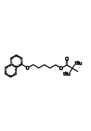 CC(C)(C)C(C)(C(=O)OCCCCCOc1cccc2ccccc12)C(C)(C)C